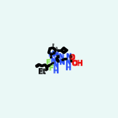 C=CCC/C(=C\CC)C(F)(F)[C@@H]1Nc2nc(C3=NOC(O)N3)nc(N[C@H](C)C3CCC3)c2N1C[C@H]1CC[C@H](C)CC1